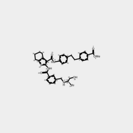 COC(=O)c1ccc(CCc2ccc(NC(=O)c3c(NC(=O)c4cccc(CN[C@@H](CO)C(C)C)c4)sc4c3CCCC4)cc2)cc1